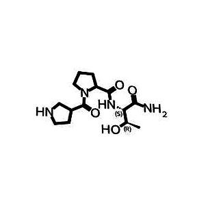 C[C@@H](O)[C@H](NC(=O)C1CCCN1C(=O)C1CCNC1)C(N)=O